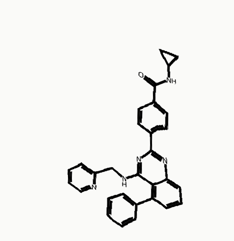 O=C(NC1CC1)c1ccc(-c2nc(NCc3ccccn3)c3c(-c4ccccc4)cccc3n2)cc1